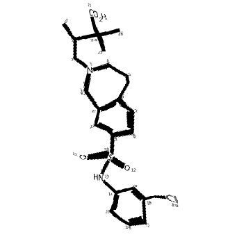 CC(CN1CCc2ccc(S(=O)(=O)Nc3cccc(Cl)c3)cc2C1)C(C)(C)C(=O)O